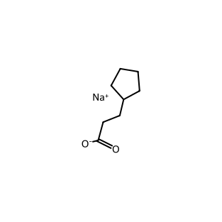 O=C([O-])CCC1CCCC1.[Na+]